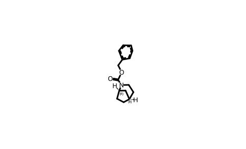 O=C(OCc1ccccc1)N1CC[C@H]2CC[C@@H]1C2